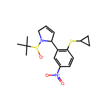 CC(C)(C)[S+]([O-])N1CC=CC1c1cc([N+](=O)[O-])ccc1SC1CC1